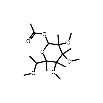 COC(C)C1(C)OC(OC(C)=O)C(C)(OC)C(C)(OC)C1(C)OC